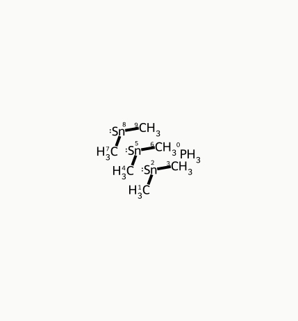 P.[CH3][Sn][CH3].[CH3][Sn][CH3].[CH3][Sn][CH3]